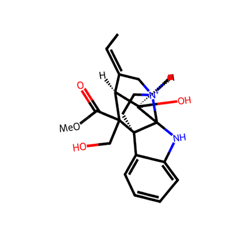 C/C=C1\C[N+]2(C)CC[C@@]34c5ccccc5NC32[C@H](O)C[C@H]1C4(CO)C(=O)OC